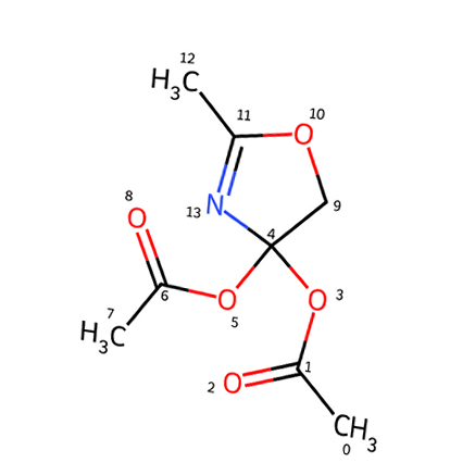 CC(=O)OC1(OC(C)=O)COC(C)=N1